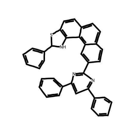 c1ccc(-c2cc(-c3ccccc3)nc(-c3ccc4ccc5ccc6c(c5c4c3)NC(c3ccccc3)S6)n2)cc1